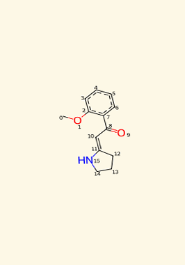 COc1ccccc1C(=O)C=C1CCCN1